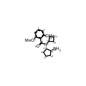 COc1cccc(OC)c1C(=O)N(C1CCC1)[C@H]1CCC[C@@H]1N